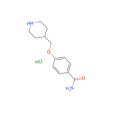 Cl.NC(=O)c1ccc(OCC2CCNCC2)cc1